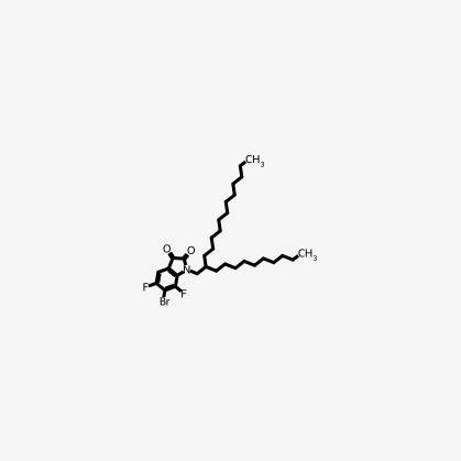 CCCCCCCCCCCCC(CCCCCCCCCC)CN1C(=O)C(=O)c2cc(F)c(Br)c(F)c21